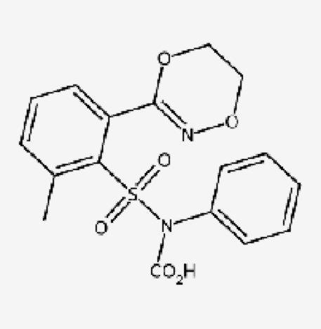 Cc1cccc(C2=NOCCO2)c1S(=O)(=O)N(C(=O)O)c1ccccc1